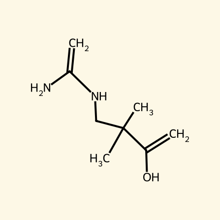 C=C(N)NCC(C)(C)C(=C)O